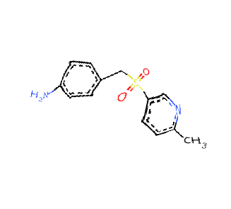 Cc1ccc(S(=O)(=O)Cc2ccc(N)cc2)cn1